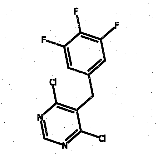 Fc1cc(Cc2c(Cl)ncnc2Cl)cc(F)c1F